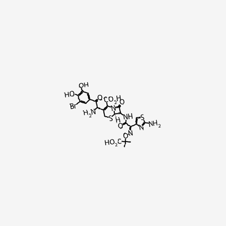 CC(C)(O/N=C(\C(=O)NC1C(=O)N2C(C(=O)O)=C(C(N)C(=O)c3cc(O)c(O)c(Br)c3)CS[C@H]12)c1csc(N)n1)C(=O)O